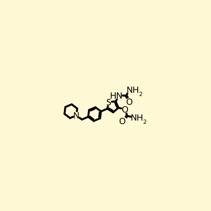 NC(=O)Nc1sc(-c2ccc(CN3CCCCC3)cc2)cc1OC(N)=O